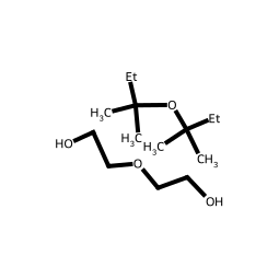 CCC(C)(C)OC(C)(C)CC.OCCOCCO